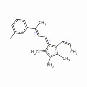 Bn1c(C)c(/C=C\C)/c(=C/C=C(\C)c2cccc(I)c2)c1=C